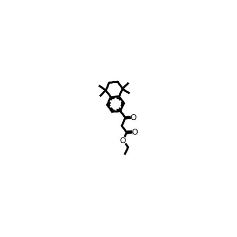 CCOC(=O)CC(=O)c1ccc2c(c1)C(C)(C)CCC2(C)C